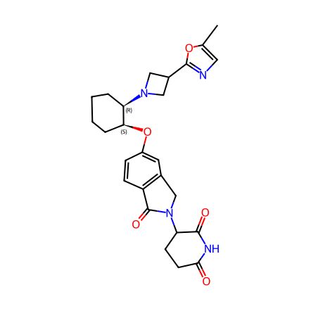 Cc1cnc(C2CN([C@@H]3CCCC[C@@H]3Oc3ccc4c(c3)CN(C3CCC(=O)NC3=O)C4=O)C2)o1